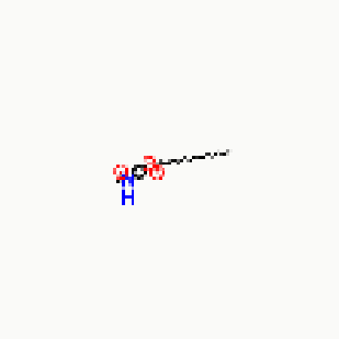 CCCCCCCCCCCCCC(=O)Oc1ccc(NC(C)=O)cc1